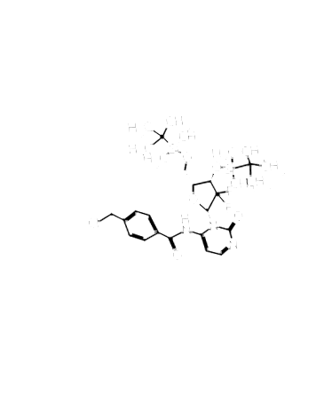 CC(C)(C)[Si](C)(C)OC[C@H]1O[C@@H](n2c(NC(=O)c3ccc(CCl)cc3)ccnc2=O)C(F)(F)[C@@H]1O[Si](C)(C)C(C)(C)C